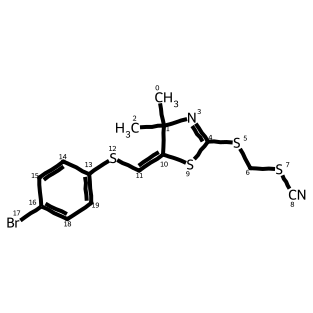 CC1(C)N=C(SCSC#N)S/C1=C/Sc1ccc(Br)cc1